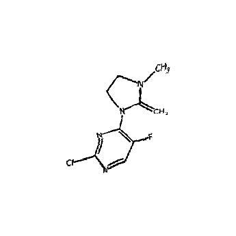 C=C1N(C)CCN1c1nc(Cl)ncc1F